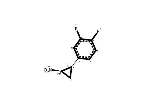 O=[N+]([O-])[C@@H]1C[C@H]1c1ccc(F)c(F)c1